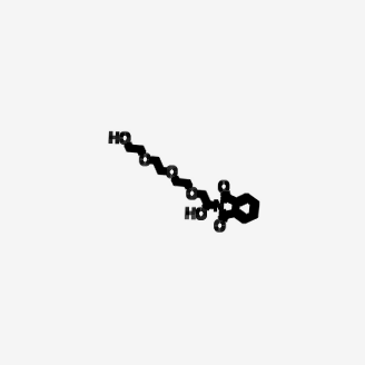 O=C1c2ccccc2C(=O)N1C(O)COCCOCCOCCO